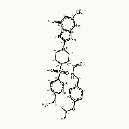 O=C(NCc1ccc(OC(F)F)cc1)[C@H]1CN(c2nn3c(=O)cc(C(F)(F)F)nc3s2)CCN1S(=O)(=O)c1ccc(OC(F)(F)F)cc1